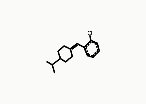 CC(C)C1CCC(=Cc2ccccc2Cl)CC1